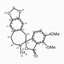 COc1ccc2c(c1OC)C(=O)OC21Cc2cc3c(cc2CCN1C)OCO3